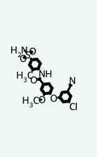 COc1cc(C(=O)Nc2ccc(S(N)(=O)=O)cc2C)ccc1Oc1cc(Cl)cc(C#N)c1